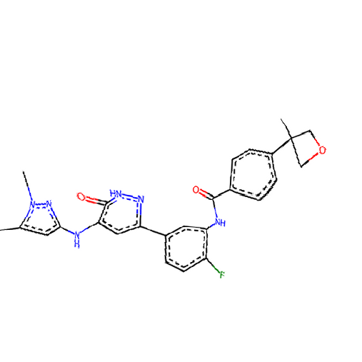 Cc1cc(Nc2cc(-c3ccc(F)c(NC(=O)c4ccc(C5(C)COC5)cc4)c3)n[nH]c2=O)nn1C